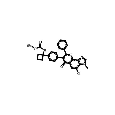 Cn1cnc2c3oc(-c4ccccc4)c(-c4ccc(C5(NC(=O)OC(C)(C)C)CCC5)cc4)c(=O)c3cc(Cl)c21